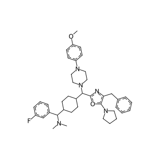 COc1ccc(N2CCN(C(c3nc(Cc4ccccc4)c(N4CCCC4)o3)C3CCC(C(c4cccc(F)c4)N(C)C)CC3)CC2)cc1